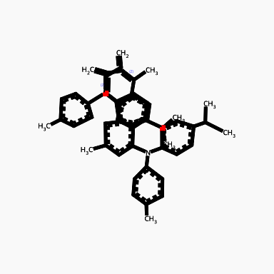 C=C/C=C\c1c(/C(C)=C\C(=C)N(c2ccc(C)cc2)c2ccc(C(C)C)cc2)ccc2c(N(c3ccc(C)cc3)c3ccc(C(C)C)cc3)cc(C)cc12